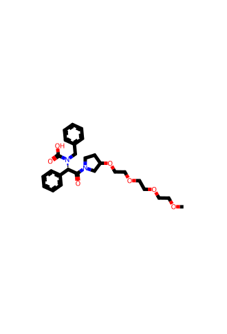 COCCOCCOCCOC1CCN(C(=O)[C@H](c2ccccc2)N(Cc2ccccc2)C(=O)O)C1